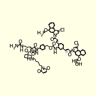 NC(=O)NCCC[C@H](NC(=O)C1(C(=O)NCCCCCN2C(=O)C=CC2=O)CCC1)C(=O)Nc1ccc(COC(=O)Nc2cc(/C=C/C(=O)N3C[C@@H](CCl)c4c3cc(OPO)c3ccccc43)ccc2/C=C/C(=O)N2C[C@@H](CCl)c3c2cc(OP)c2ccccc32)cc1